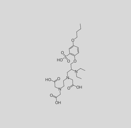 CCCCOc1ccc(OCC(CN(CCN(CC(=O)O)CC(=O)O)CC(=O)O)N(CC)CC)c(S(=O)(=O)O)c1